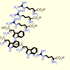 N=C(N)NCCC[C@H](N)C(=O)O.N=C(N)NCCC[C@H](N)C(=O)O.N=C(N)NCCC[C@H](N)C(=O)O.N=C(N)NCCC[C@H](N)C(=O)O.N[C@@H](Cc1c[nH]c2ccccc12)C(=O)O.N[C@@H](Cc1c[nH]c2ccccc12)C(=O)O.N[C@@H](Cc1c[nH]c2ccccc12)C(=O)O